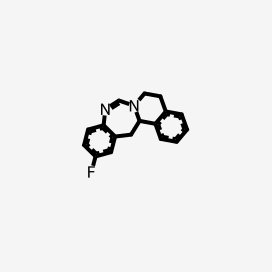 Fc1ccc2c(c1)CC1c3ccccc3CCN1C=N2